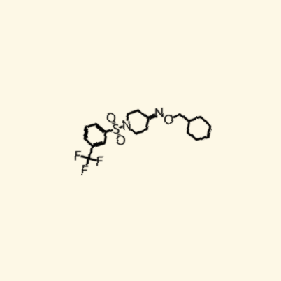 O=S(=O)(c1cccc(C(F)(F)F)c1)N1CCC(=NOCC2CCCCC2)CC1